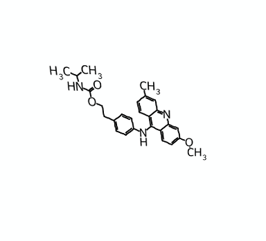 COc1ccc2c(Nc3ccc(CCOC(=O)NC(C)C)cc3)c3ccc(C)cc3nc2c1